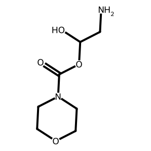 NCC(O)OC(=O)N1CCOCC1